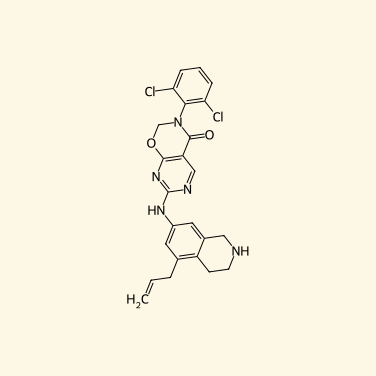 C=CCc1cc(Nc2ncc3c(n2)OCN(c2c(Cl)cccc2Cl)C3=O)cc2c1CCNC2